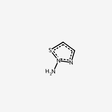 N[n+]1nccs1